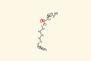 CCCCCCCCCCCCCCCCOC(=O)CS(=O)(=O)O